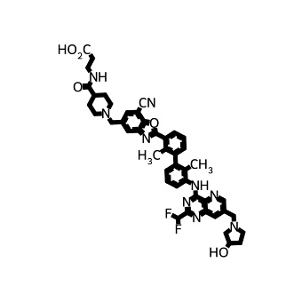 Cc1c(Nc2nc(C(F)F)nc3cc(CN4CCC(O)C4)cnc23)cccc1-c1cccc(-c2nc3cc(CN4CCC(C(=O)NCCC(=O)O)CC4)cc(C#N)c3o2)c1C